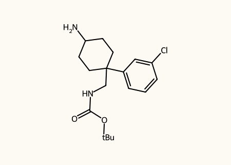 CC(C)(C)OC(=O)NCC1(c2cccc(Cl)c2)CCC(N)CC1